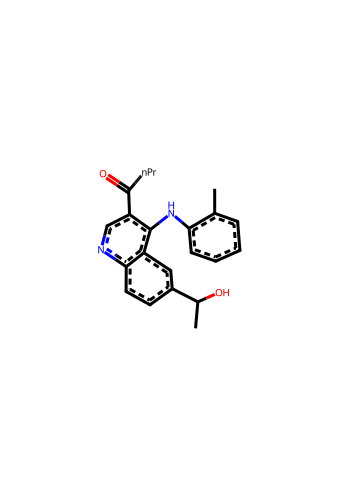 CCCC(=O)c1cnc2ccc(C(C)O)cc2c1Nc1ccccc1C